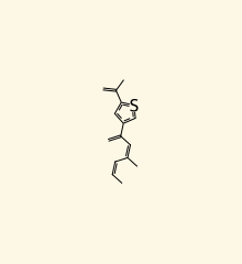 C=C(/C=C(C)\C=C/C)c1csc(C(=C)C)c1